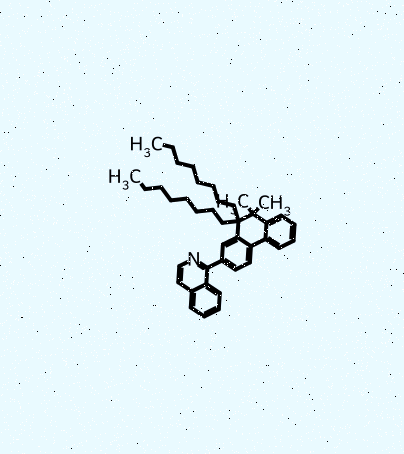 CCCCCCCCC1(CCCCCCCC)c2cc(-c3nccc4ccccc34)ccc2-c2ccccc2C1(C)C